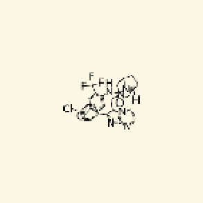 O=C(Nc1ccc(Cl)cc1C(F)(F)F)N1C2CC[C@@H]1CN(Cc1c(-c3ccc(Cl)cc3)nc3ncccn13)C2